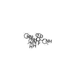 CNC1(C2CCCCCC2)CC(C)NC(Nc2cc3c(c(C4=CCN[C@@H](C)CC4)c2F)OCCO3)N1